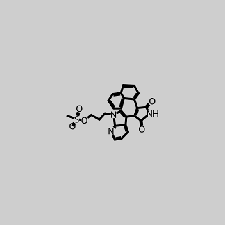 CS(=O)(=O)OCCCn1cc(C2=C(c3cccc4ccccc34)C(=O)NC2=O)c2cccnc21